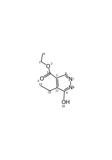 CCOC(=O)c1[c]nnc(O)c1CC